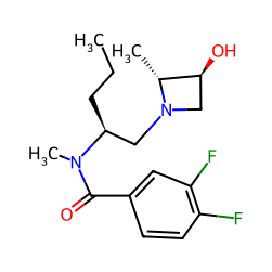 CCC[C@@H](CN1C[C@H](O)[C@H]1C)N(C)C(=O)c1ccc(F)c(F)c1